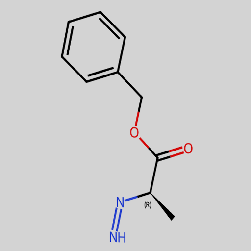 C[C@@H](N=N)C(=O)OCc1ccccc1